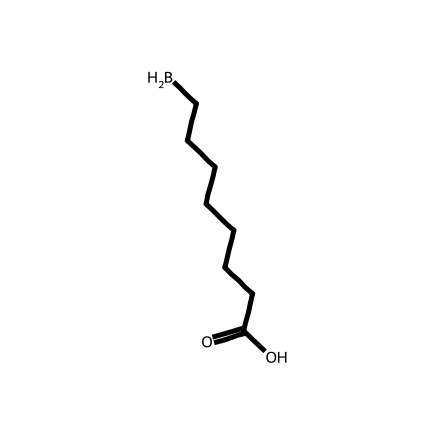 BCCCCCCCC(=O)O